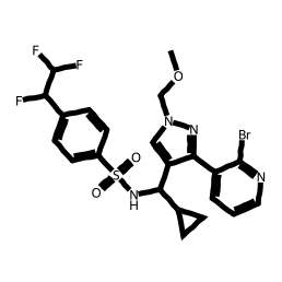 COCn1cc(C(NS(=O)(=O)c2ccc(C(F)C(F)F)cc2)C2CC2)c(-c2cccnc2Br)n1